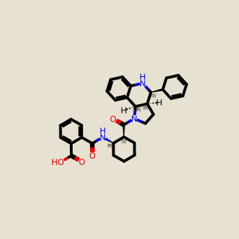 O=C(O)c1ccccc1C(=O)N[C@@H]1CCCC[C@@H]1C(=O)N1CC[C@@H]2[C@H](C3C=CC=CC3)Nc3ccccc3[C@@H]21